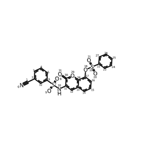 N#Cc1cccc(S(=O)(=O)Nc2cc3cccc(OS(=O)(=O)c4ccccc4)c3oc2=O)c1